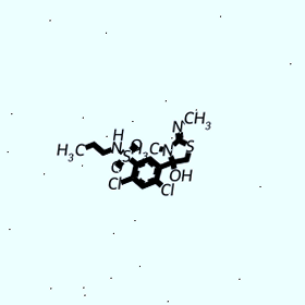 CCCNS(=O)(=O)c1cc(C2(O)CSC(=NC)N2C)c(Cl)cc1Cl